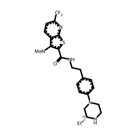 CC[C@@H]1CN(c2ccc(CCNC(=O)c3sc4nc(C(F)(F)F)ccc4c3NC)cc2)CCN1